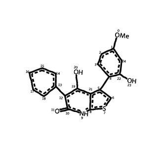 COc1ccc(-c2csc3[nH]c(=O)c(-c4ccccc4)c(O)c23)c(O)c1